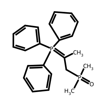 CC(CP(C)(C)=O)=P(c1ccccc1)(c1ccccc1)c1ccccc1